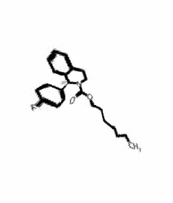 CCCCCCCOC(=O)N1CCc2ccccc2[C@@H]1c1ccc(F)cc1